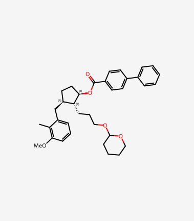 COc1cccc(C[C@H]2CC[C@@H](OC(=O)c3ccc(-c4ccccc4)cc3)[C@@H]2CCCOC2CCCCO2)c1C